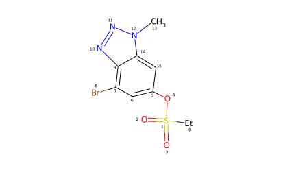 CCS(=O)(=O)Oc1cc(Br)c2nnn(C)c2c1